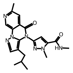 CNC(=O)c1cc(-n2c(=O)c3cc(C)ncc3n3ncc(CC(C)C)c23)nn1C